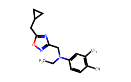 N#Cc1ccc(N(Cc2noc(CC3CC3)n2)CC(F)(F)F)cc1C(F)(F)F